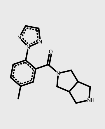 Cc1ccc(-n2nccn2)c(C(=O)N2CC3CNCC3C2)c1